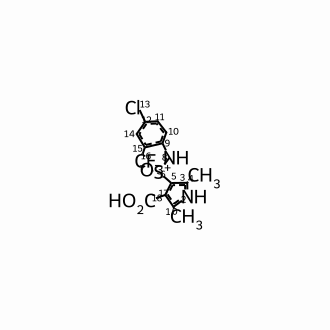 Cc1[nH]c(C)c([S+]([O-])Nc2ccc(Cl)cc2C(F)(F)F)c1C(=O)O